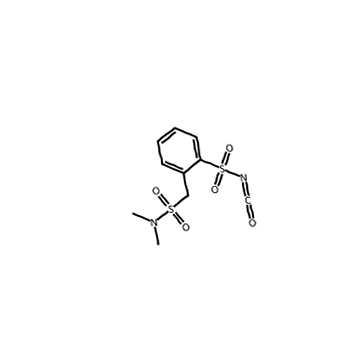 CN(C)S(=O)(=O)Cc1ccccc1S(=O)(=O)N=C=O